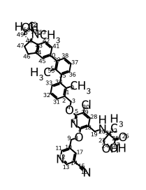 Cc1c(COc2nc(OCc3cncc(C#N)c3)c(CNC(C)(CO)C(=O)O)cc2Cl)cccc1-c1cccc(-c2ccc3c(c2)CC[C@@]3(CO)N(C)C)c1C